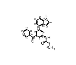 CCC(=O)Nc1cc(C(=O)c2cccnc2)cc(-c2cccc3[nH]ccc23)c1